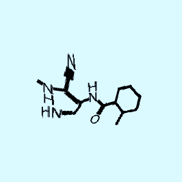 CN/C(C#N)=C(\C=N)NC(=O)C1CCCCC1C